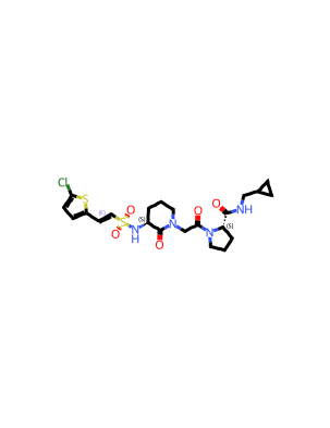 O=C(NCC1CC1)[C@@H]1CCCN1C(=O)CN1CCC[C@H](NS(=O)(=O)/C=C/c2ccc(Cl)s2)C1=O